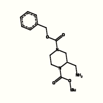 CC(C)(C)OC(=O)N1CCN(C(=O)OCc2ccccc2)CC1CN